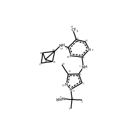 CNC(C)(C)n1cc(Nc2ncc(C(F)(F)F)c(NC3C4CC3C4)n2)c(C)n1